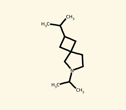 CC(C)C1CC2(CCN(C(C)C)C2)C1